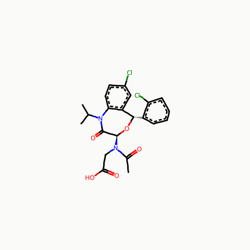 CC(=O)N(CC(=O)O)[C@@H]1O[C@@H](c2ccccc2Cl)c2cc(Cl)ccc2N(C(C)C)C1=O